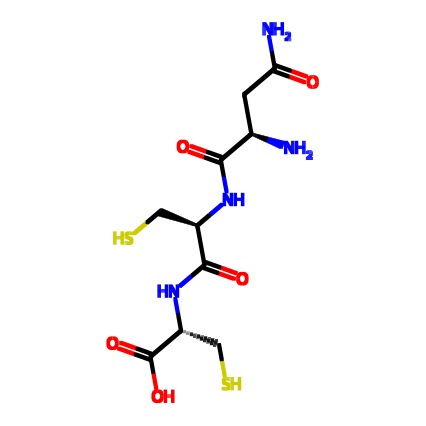 NC(=O)C[C@@H](N)C(=O)N[C@H](CS)C(=O)N[C@H](CS)C(=O)O